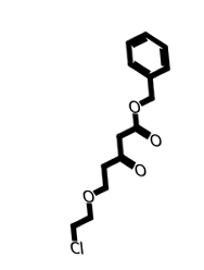 O=C(CCOCCCl)CC(=O)OCc1ccccc1